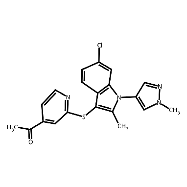 CC(=O)c1ccnc(Sc2c(C)n(-c3cnn(C)c3)c3cc(Cl)ccc23)c1